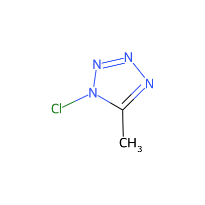 Cc1nnnn1Cl